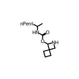 CCCCCC(C)NC(=O)OC1NCC12CCC2